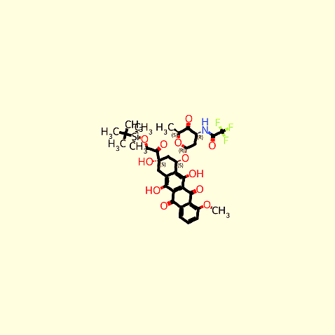 COc1cccc2c1C(=O)c1c(O)c3c(c(O)c1C2=O)C[C@@](O)(C(=O)CO[Si](C)(C)C(C)(C)C)C[C@@H]3O[C@H]1C[C@@H](NC(=O)C(F)(F)F)C(=O)[C@H](C)O1